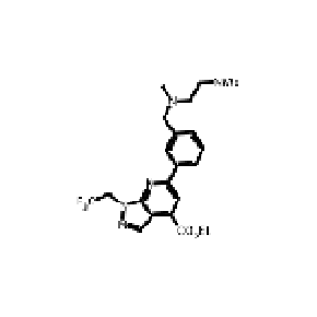 CCOC(=O)c1cc(-c2cccc(CN(C)CCNC)c2)nc2c1cnn2CC(F)(F)F